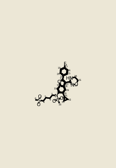 CS(=O)(=O)CCCCN(c1cc2oc(-c3ccc(F)cc3)c(C3=NOCCN3)c2cc1C1CC1)S(C)(=O)=O